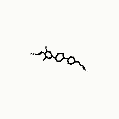 C=CCCC1CCC(C2CCC(c3cc(F)c(/C=C/C(F)(F)F)c(F)c3)CC2)CC1